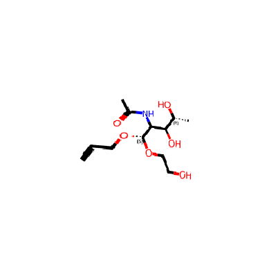 C=CCO[C@@H](OCCO)C(NC(C)=O)C(O)[C@@H](C)O